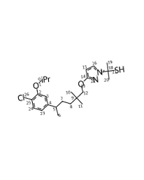 CC(C)Oc1cc(C(C)CCC(C)(C)COc2ccn(C(C)(C)S)n2)ccc1Cl